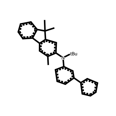 Cc1cc2c(cc1N(c1cccc(-c3ccccc3)c1)C(C)(C)C)C(C)(C)c1ccccc1-2